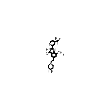 Cc1cc(CCN2CCC(F)(F)CC2)cc2c(=O)[nH]c(-c3cc(C(F)(F)F)ccn3)nc12